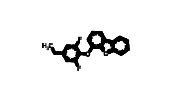 CCc1cc(F)c(Oc2cccc3c2oc2ccccc23)c(F)c1